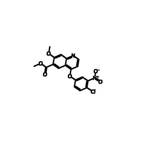 COC(=O)c1cc2c(Oc3ccc(Cl)c([N+](=O)[O-])c3)ccnc2cc1OC